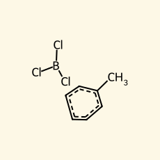 Cc1ccccc1.ClB(Cl)Cl